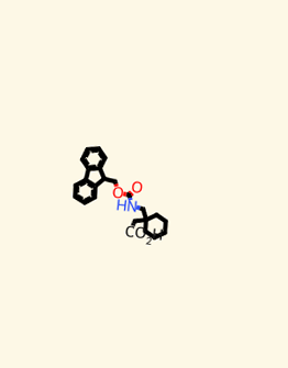 O=C(O)CC1(CNC(=O)OCC2c3ccccc3-c3ccccc32)CCCCC1